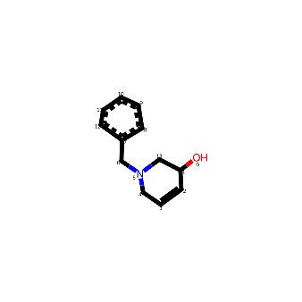 OC1C=CCN(Cc2ccccc2)C1